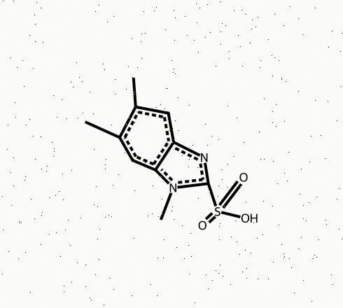 Cc1cc2nc(S(=O)(=O)O)n(C)c2cc1C